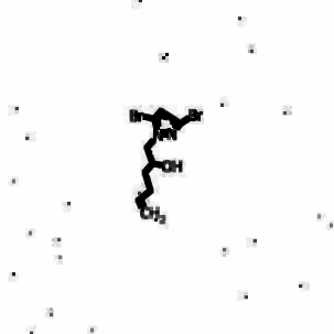 C=CCCC(O)Cn1nc(Br)cc1Br